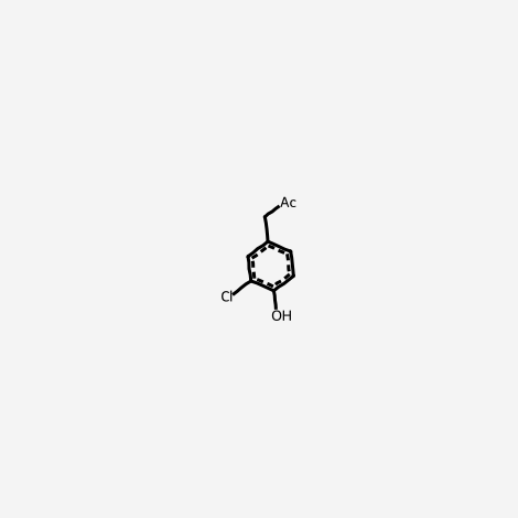 CC(=O)Cc1ccc(O)c(Cl)c1